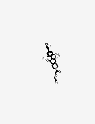 CC#Cc1cc(C)c(C2C(=O)CC3(CCN(C(=O)COCC#N)CC3)CC2=O)c(C)c1